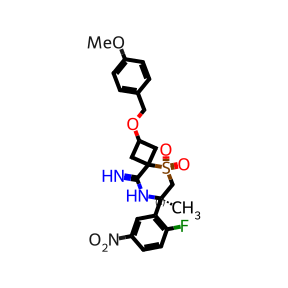 COc1ccc(COC2CC3(C2)C(=N)N[C@](C)(c2cc([N+](=O)[O-])ccc2F)CS3(=O)=O)cc1